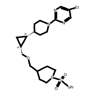 CCCS(=O)(=O)N1CCC(COC[C@@H]2C[C@@H]2C2CCN(c3ncc(CC)cn3)CC2)CC1